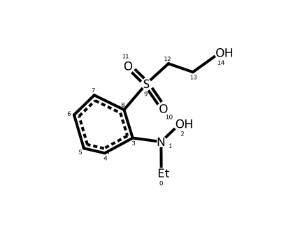 CCN(O)c1[c]cccc1S(=O)(=O)CCO